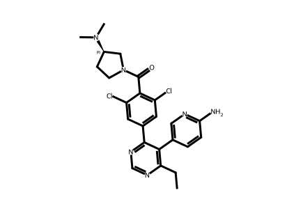 CCc1ncnc(-c2cc(Cl)c(C(=O)N3CC[C@@H](N(C)C)C3)c(Cl)c2)c1-c1ccc(N)nc1